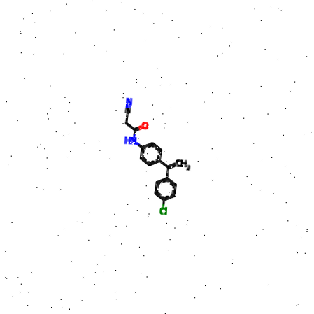 C=C(c1ccc(Cl)cc1)c1ccc(NC(=O)CC#N)cc1